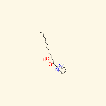 CCCCCCCCCCC(O)CC(=O)c1nc2ccccc2[nH]1